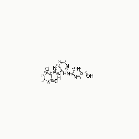 OCc1cnc(Nc2nccc3nc(-c4c(Cl)cccc4Cl)[nH]c23)cn1